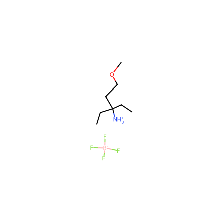 CCC([NH3+])(CC)CCOC.F[B-](F)(F)F